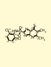 Cc1nc2nc(S(=O)(=O)Nc3c(Cl)cccc3Cl)nn2c(=S)n1C